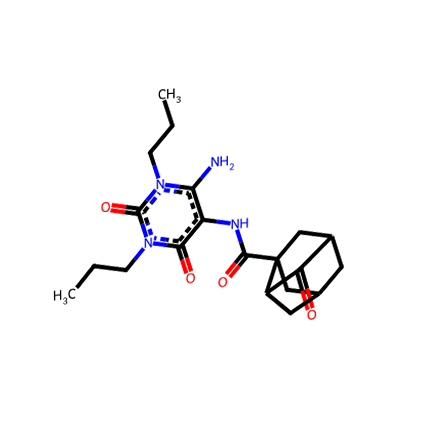 CCCn1c(N)c(NC(=O)C23CC4CC(C2)C(=O)C3C4)c(=O)n(CCC)c1=O